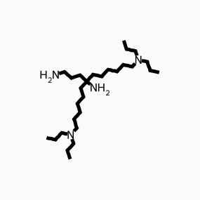 CCCN(CCC)CCCCCCC(N)(CCCN)CCCCCCN(CCC)CCC